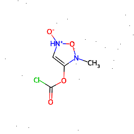 CN1O[NH+]([O-])C=C1OC(=O)Cl